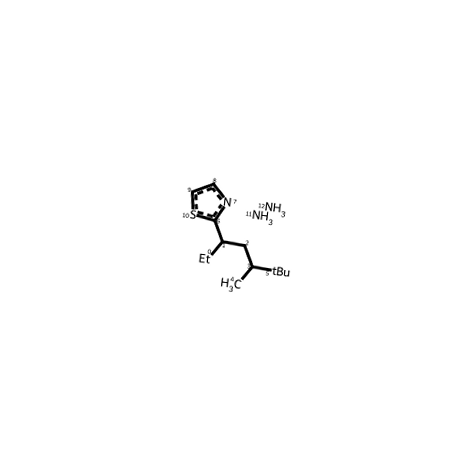 CCC(CC(C)C(C)(C)C)c1nccs1.N.N